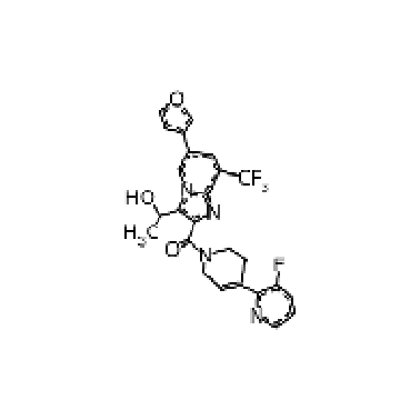 CC(O)c1c(C(=O)N2CC=C(c3ncccc3F)CC2)nc2c(C(F)(F)F)cc(-c3ccoc3)cn12